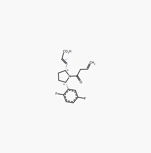 C=CCC(=O)N1[C@@H](/C=C/C(=O)O)CC[C@H]1c1cc(F)ccc1F